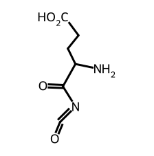 NC(CCC(=O)O)C(=O)N=C=O